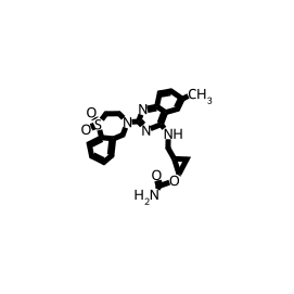 Cc1ccc2nc(N3CCS(=O)(=O)c4ccccc4C3)nc(NCC3CC3OC(N)=O)c2c1